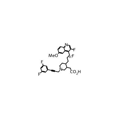 COc1ccc2ncc(F)c([C@H](F)CCC3CCN(CC#Cc4cc(F)cc(F)c4)CC3CC(=O)O)c2c1